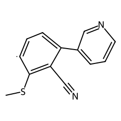 CSc1[c]ccc(-c2cccnc2)c1C#N